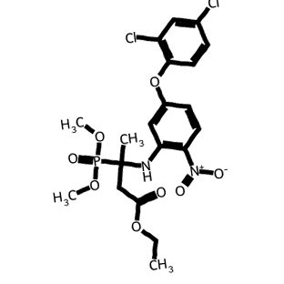 CCOC(=O)CC(C)(Nc1cc(Oc2ccc(Cl)cc2Cl)ccc1[N+](=O)[O-])P(=O)(OC)OC